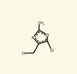 Cc1nc(CCl)c(Cl)o1